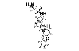 Cc1c(NC(=O)OC(C)(C)CN)cn2ncc(C#N)c(Nc3ccc(Oc4ccccc4)cc3)c12